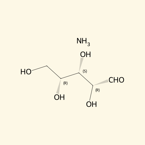 N.O=C[C@H](O)[C@@H](O)[C@H](O)CO